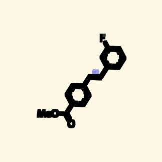 COC(=O)c1ccc(/C=C/c2cccc(F)c2)cc1